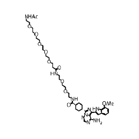 COc1cccc2cc(-c3nc([C@H]4CC[C@H](C(=O)NCCOCCOCCNC(=O)CCOCCOCCOCCOCCOCCNC(C)=O)CC4)n4ncnc(N)c34)[nH]c12